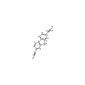 CC#Cc1ccc2c(c1)sc1cc(C#CC)ccc12